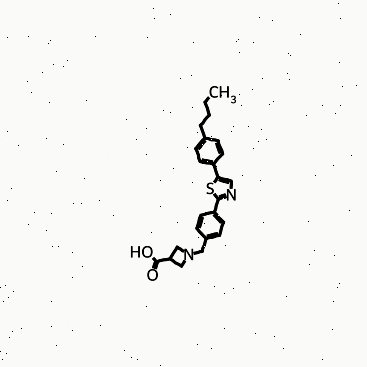 CCCCc1ccc(-c2cnc(-c3ccc(CN4CC(C(=O)O)C4)cc3)s2)cc1